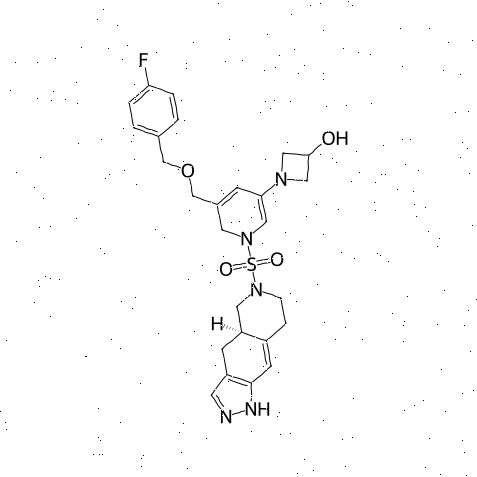 O=S(=O)(N1C=C(N2CC(O)C2)C=C(COCc2ccc(F)cc2)C1)N1CCC2=Cc3[nH]ncc3C[C@H]2C1